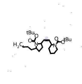 C=CCCC1CCC(/C=C\C2CCCCN2C(=O)OC(C)(C)C)N1C(=O)OC(C)(C)C